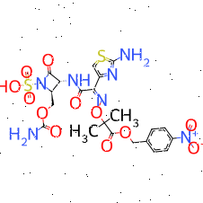 CC(C)(O/N=C(\C(=O)N[C@H]1C(=O)N(S(=O)(=O)O)[C@@H]1COC(N)=O)c1csc(N)n1)C(=O)OCc1ccc([N+](=O)[O-])cc1